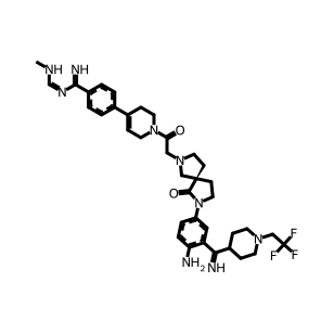 CN/C=N\C(=N)c1ccc(C2=CCN(C(=O)CN3CC[C@]4(CCN(c5ccc(N)c(C(=N)C6CCN(CC(F)(F)F)CC6)c5)C4=O)C3)CC2)cc1